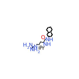 CC(C)NC(CCCN=C(N)N)C(=O)Nc1ccc2ccccc2c1